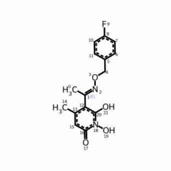 C/C(=N\OCc1ccc(F)cc1)c1c(C)cc(=O)n(O)c1O